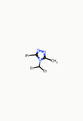 CCC(CC)n1c(C)nnc1C(C)C